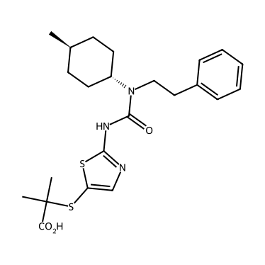 CC(C)(Sc1cnc(NC(=O)N(CCc2ccccc2)[C@H]2CC[C@H](C)CC2)s1)C(=O)O